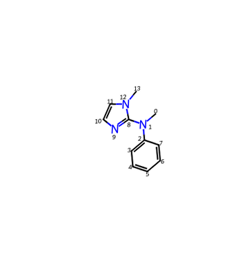 CN(c1ccccc1)c1nccn1C